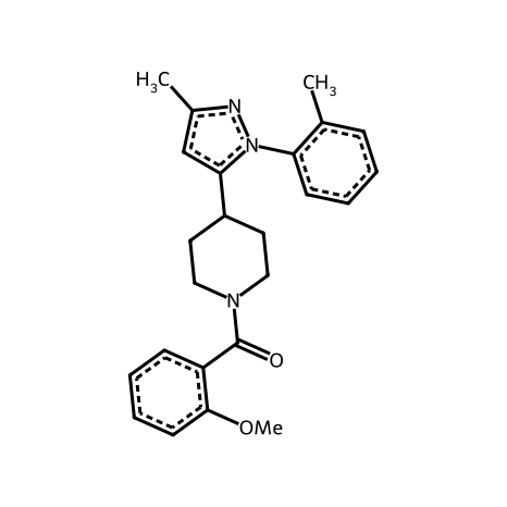 COc1ccccc1C(=O)N1CCC(c2cc(C)nn2-c2ccccc2C)CC1